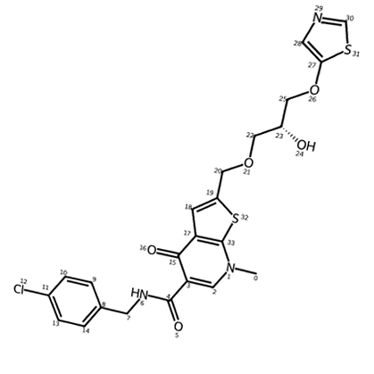 Cn1cc(C(=O)NCc2ccc(Cl)cc2)c(=O)c2cc(COC[C@@H](O)COc3cncs3)sc21